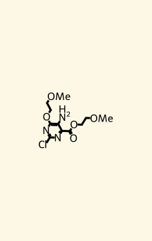 COCCOC(=O)c1nc(Cl)nc(OCCOC)c1N